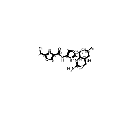 C[C@H]1C[C@H]2CSC(N)=N[C@@]2(c2nc(NC(=O)c3coc(CF)n3)cs2)CO1